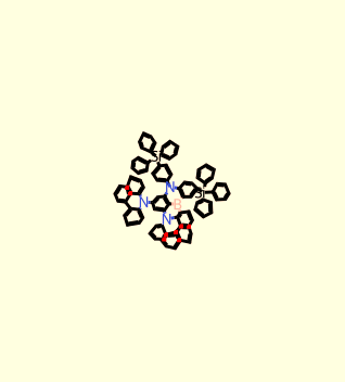 c1ccc(-c2ccccc2N(c2ccccc2)c2cc3c4c(c2)N(c2ccccc2-c2ccccc2)c2c(cccc2-c2ccccc2)B4c2cc([Si](c4ccccc4)(c4ccccc4)c4ccccc4)ccc2N3c2ccc([Si](c3ccccc3)(c3ccccc3)c3ccccc3)cc2)cc1